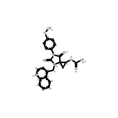 O=C1N(c2ccc(SC(F)(F)F)cc2)C(=O)C2(CC2OC(=O)C(F)(F)F)N1Cc1ccnc2ccccc12